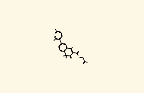 CC(=O)CNC(=O)C1=C(O)c2cc(-c3ccc(C)nc3F)ccc2C(C)(C)C1=O